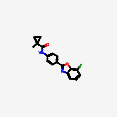 CC1(C(=O)Nc2ccc(-c3nc4cccc(F)c4o3)cc2)CC1